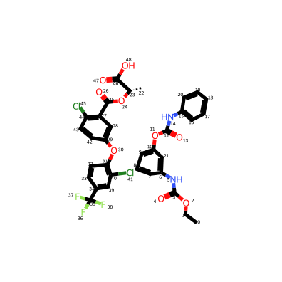 CCOC(=O)Nc1cccc(OC(=O)Nc2ccccc2)c1.C[C@H](OC(=O)c1cc(Oc2ccc(C(F)(F)F)cc2Cl)ccc1Cl)C(=O)O